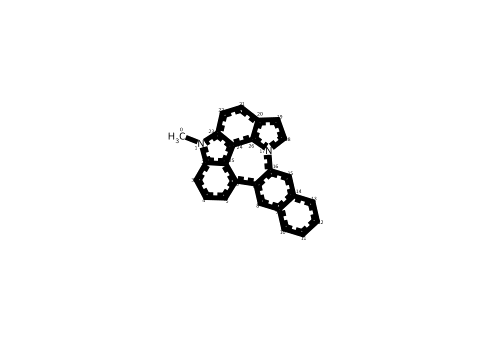 Cn1c2cccc3c4cc5ccccc5cc4n4ccc5ccc1c(c32)c54